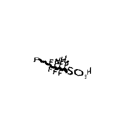 N.O=S(=O)(O)CC(F)C(F)C(F)C(F)C(F)C(F)C(F)CCCCF